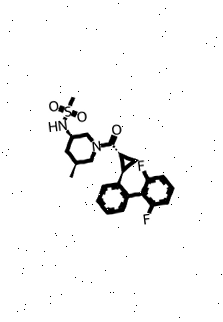 C[C@H]1C[C@@H](NS(C)(=O)=O)CN(C(=O)[C@@H]2C[C@H]2c2ccccc2-c2c(F)cccc2F)C1